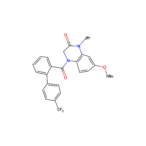 CCCCOc1ccc2c(c1)N(C(C)C)C(=O)CN2C(=O)c1ccccc1-c1ccc(C(F)(F)F)cc1